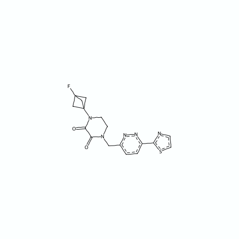 O=C1C(=O)N(C23CC(F)(C2)C3)CCN1Cc1ccc(-c2nccs2)nn1